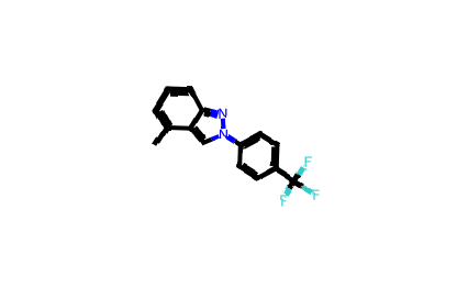 Cc1cccc2nn(-c3ccc(C(F)(F)F)cc3)cc12